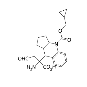 NC(CC=O)(C(=O)O)C1c2ccccc2N(C(=O)OCC2CC2)C2CCCC21